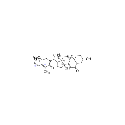 C/C=C\C=C(/C)C(=O)N(CCOC)C(C)C1CC[C@@]2(O)C3=CC(=O)C4CC(O)CCC4(C)C3CC[C@]12C